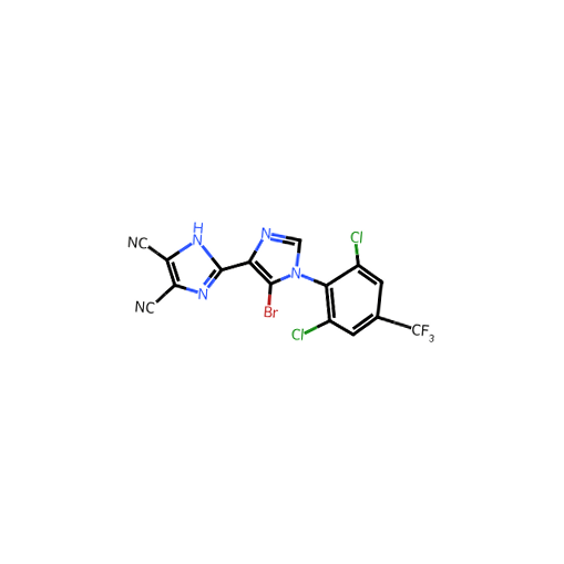 N#Cc1nc(-c2ncn(-c3c(Cl)cc(C(F)(F)F)cc3Cl)c2Br)[nH]c1C#N